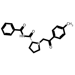 Cc1ccc(C(=O)CN2CCC[C@@H]2C(=O)NC(=O)c2ccccc2)cc1